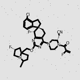 C=C(F)C(=O)N1CCN(c2nc(OCC34CCC(C)N3C[C@H](F)C4)nc3c2CC[C@@]2(CCc4c(Cl)cccc42)[C@H]3F)C[C@@H]1CC#N